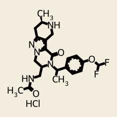 CC(=O)NCC1Cn2nc3c(c2C(=O)N1C(C)c1ccc(OC(F)F)cc1)CN[C@H](C)C3.Cl